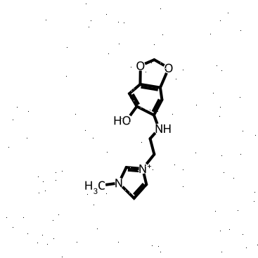 Cn1cc[n+](CCNc2cc3c(cc2O)OCO3)c1